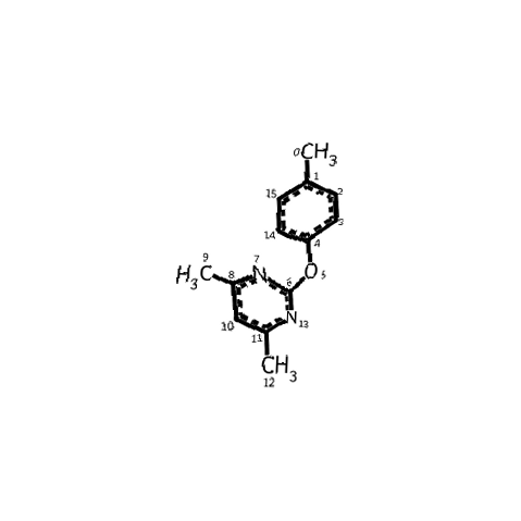 Cc1ccc(Oc2nc(C)cc(C)n2)cc1